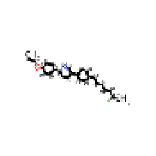 C=CCOc1ccc(-c2ccc(-c3ccc(CCCCCC(C)F)cc3)cn2)cc1